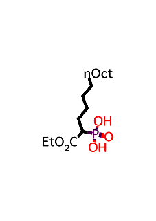 CCCCCCCCCCCCC(C(=O)OCC)P(=O)(O)O